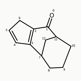 O=C1C2=C(C=CC2)C2CCCC1C2